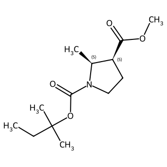 CCC(C)(C)OC(=O)N1CC[C@H](C(=O)OC)[C@@H]1C